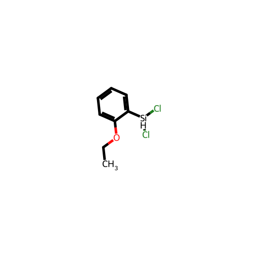 CCOc1ccccc1[SiH](Cl)Cl